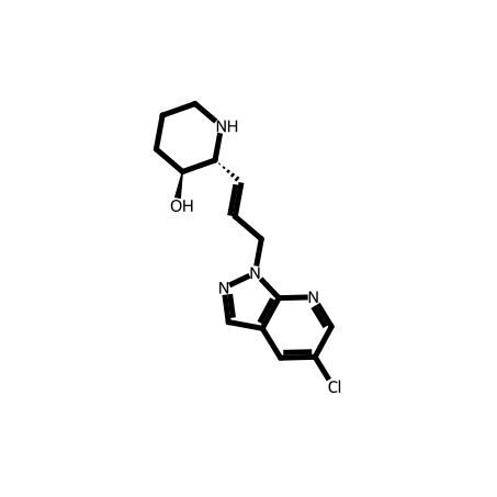 O[C@H]1CCCN[C@@H]1/C=C/Cn1ncc2cc(Cl)cnc21